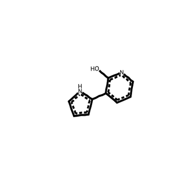 Oc1ncccc1-c1ccc[nH]1